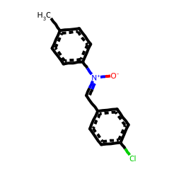 Cc1ccc([N+]([O-])=Cc2ccc(Cl)cc2)cc1